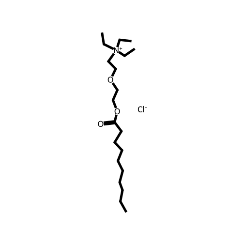 CCCCCCCCCC(=O)OCCOCC[N+](CC)(CC)CC.[Cl-]